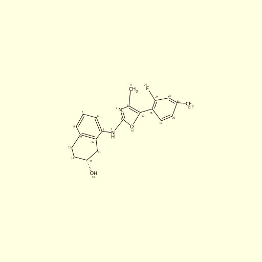 Cc1nc(Nc2cccc3c2C[C@H](O)CC3)oc1-c1ccc(C(F)(F)F)cc1F